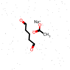 CC(=O)[O-].O=CCCCC=O.[Na+]